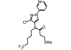 CSCCC(=O)N(CCCCC(F)(F)F)c1cn(-c2cccnc2)nc1Cl